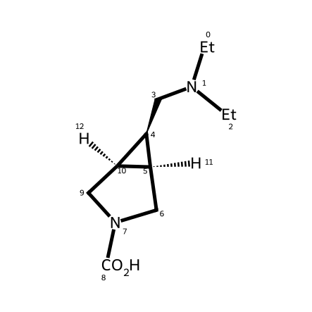 CCN(CC)C[C@H]1[C@H]2CN(C(=O)O)C[C@@H]12